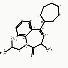 CC(C)CN1C(=O)C(N)N=C(C2CCCCCC2)c2ccccc21